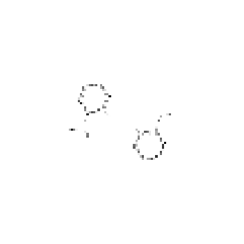 [CH2]Cc1ccccc1SSc1ccccc1[N+](=O)[O-]